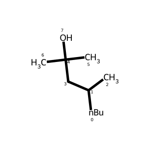 CCCCC(C)CC(C)(C)O